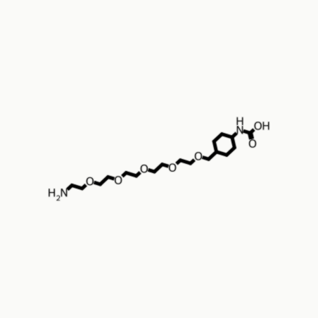 NCCOCCOCCOCCOCCOCC1CCC(NC(=O)O)CC1